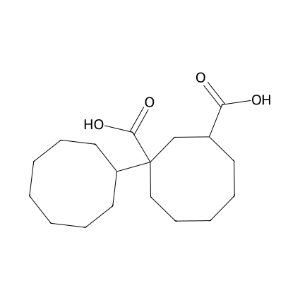 O=C(O)C1CCCCCC(C(=O)O)(C2CCCCCCC2)C1